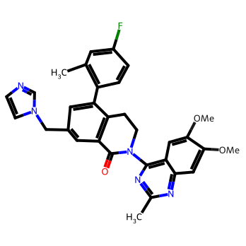 COc1cc2nc(C)nc(N3CCc4c(cc(Cn5ccnc5)cc4-c4ccc(F)cc4C)C3=O)c2cc1OC